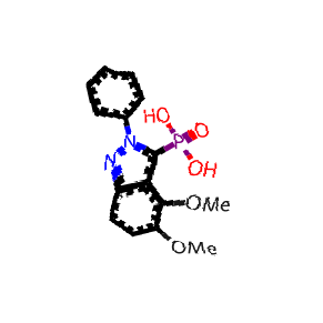 COc1ccc2nn(-c3ccccc3)c(P(=O)(O)O)c2c1OC